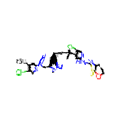 Cn1nc(CC(C)(C)c2cc(Nc3nc4c(s3)OCCC4)ncc2Cl)cc1CNc1cc(C(C)(C)C)c(Cl)cn1